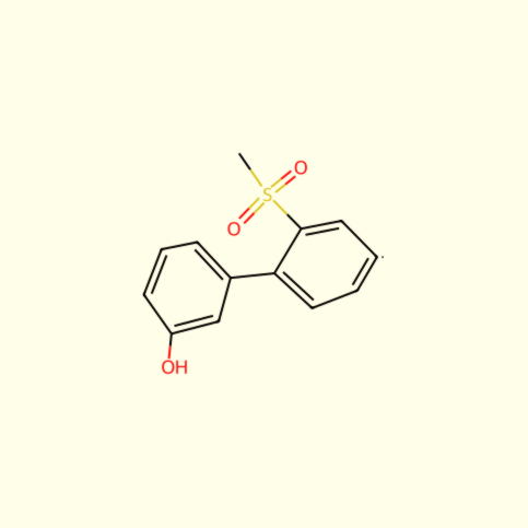 CS(=O)(=O)c1c[c]ccc1-c1cccc(O)c1